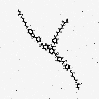 C=CC(=O)OCCCCCCOc1ccc(OC(=O)c2ccc(OC(=O)c3ccc4c(c3)nc(Oc3ccc(OCCCCCCOC(=O)C=C)cc3)c3cc(C(=O)Oc5ccc(C(=O)Oc6ccc(OCCCCCCOC(=O)C=C)cc6)cc5)ccc34)cc2)cc1